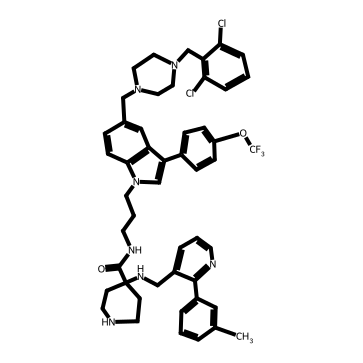 Cc1cccc(-c2ncccc2CNC2(C(=O)NCCCn3cc(-c4ccc(OC(F)(F)F)cc4)c4cc(CN5CCN(Cc6c(Cl)cccc6Cl)CC5)ccc43)CCNCC2)c1